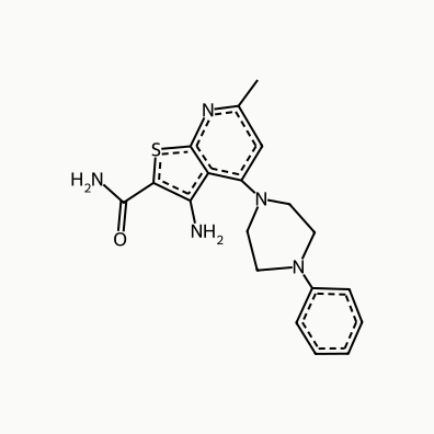 Cc1cc(N2CCN(c3ccccc3)CC2)c2c(N)c(C(N)=O)sc2n1